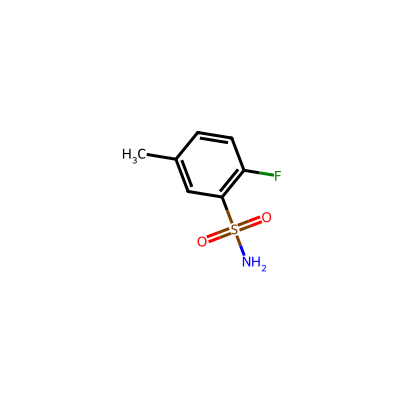 Cc1ccc(F)c(S(N)(=O)=O)c1